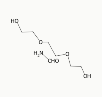 NC=O.OCCOCCOCCO